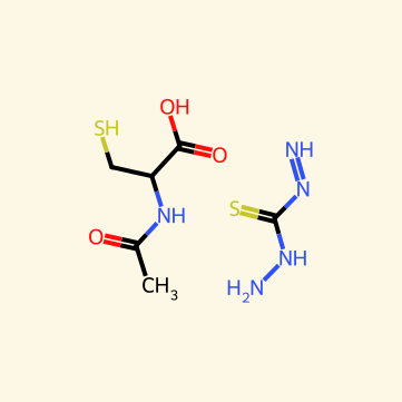 CC(=O)NC(CS)C(=O)O.N=NC(=S)NN